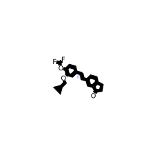 O=C1CCc2ccc(/C=C/c3ccc(OC(F)F)c(OCC4CC4)c3)cc21